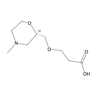 CN1CCO[C@H](COCCC(=O)O)C1